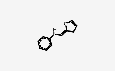 C1=COC(=CNc2ccccc2)C1